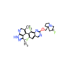 Cc1n[nH]c2ncc(C(F)(F)F)c(-c3c(F)cc4cnc(OC[C@@]56CCCN5C[C@H](F)C6)nc4c3F)c12